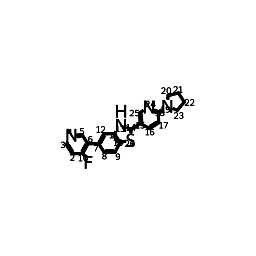 Fc1ccncc1-c1ccc2c(c1)NC(c1ccc(N3CCCC3)nc1)S2